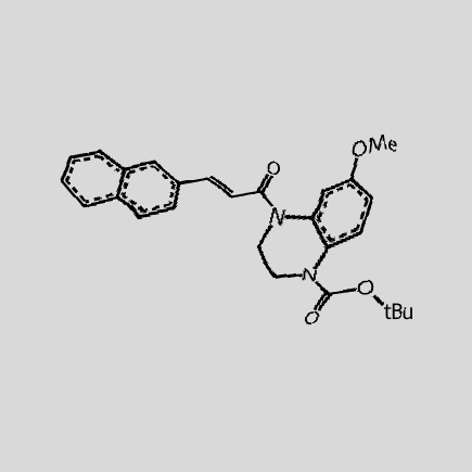 COc1ccc2c(c1)N(C(=O)C=Cc1ccc3ccccc3c1)CCN2C(=O)OC(C)(C)C